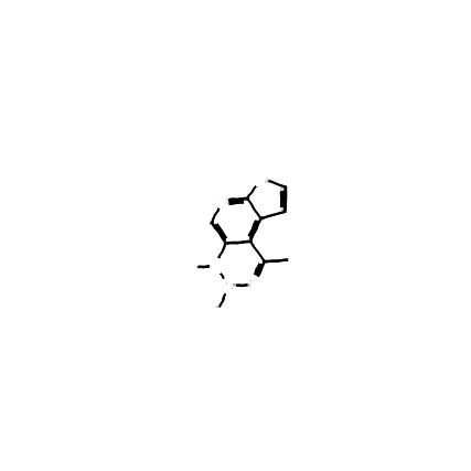 CC1=NN(C)B(O)c2cnc3[nH]ccc3c21